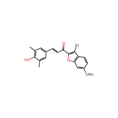 CCc1c(C(=O)/C=C/c2cc(C)c(O)c(C)c2)oc2cc(SC)ccc12